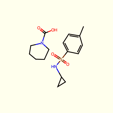 Cc1ccc(S(=O)(=O)NC2CC2)cc1.O=C(O)N1CCCCC1